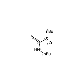 CCCCNC(=S)SCCCC.[Zn]